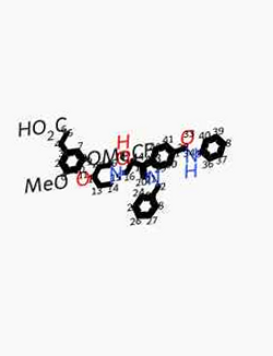 COc1cc(CCC(=O)O)cc(OC)c1OC1CCN(CC(O)(c2cn(Cc3ccccc3)c3cc(C(=O)Nc4ccccc4)ccc23)C(F)(F)F)CC1